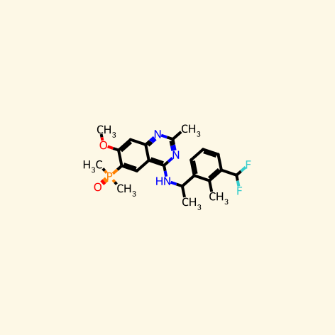 COc1cc2nc(C)nc(NC(C)c3cccc(C(F)F)c3C)c2cc1P(C)(C)=O